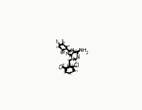 Nc1ncn(Cc2c(Cl)cccc2Cl)c2nc(-c3cc(F)c(F)cc3Br)nc1-2